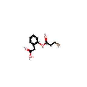 O=C(O)Cc1ccccc1OC(=O)CCBr